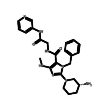 CNc1nc(N2CCC[C@@H](N)C2)n(Cc2ccccc2)c1C(=O)NCC(=O)Nc1cccnc1